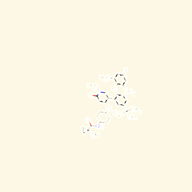 Cc1cc(F)cc(C)c1Oc1ccc(C(C)(C)O)cc1-c1cn(C)c(=O)cc1OC1CCC(NC(=O)C2(C#N)CC2)CC1